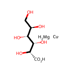 O=C(O)[C@H](O)[C@@H](O)[C@H](O)[C@H](O)CO.[Cu].[MgH2]